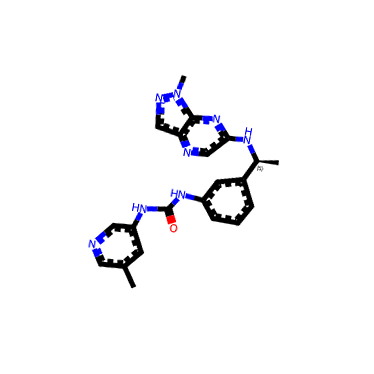 Cc1cncc(NC(=O)Nc2cccc([C@H](C)Nc3cnc4cnn(C)c4n3)c2)c1